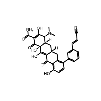 CN(C)[C@@H]1C(O)=C(C(N)=O)C(=O)[C@@]2(O)C(O)=C3C(=O)c4c(O)ccc(-c5cccc(/C=C/C#N)c5)c4C[C@H]3C[C@@H]12